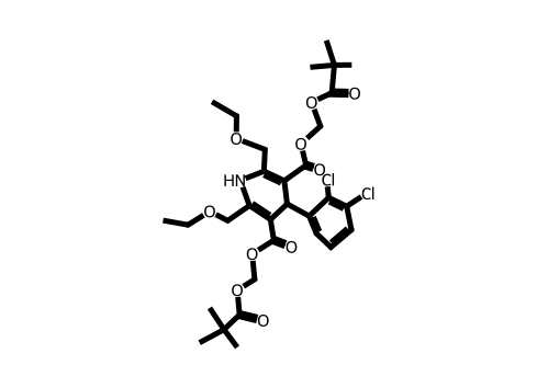 CCOCC1=C(C(=O)OCOC(=O)C(C)(C)C)C(c2cccc(Cl)c2Cl)C(C(=O)OCOC(=O)C(C)(C)C)=C(COCC)N1